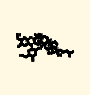 CC(C)=CCC[C@](C)(O)[C@H]1CC[C@]2(C)[C@@H]1[C@H](O)C[C@@H]1C3(C)CC[C@H](O[C@@H]4OC(CO)C(=O)CC4O[C@@H]4OC(CO)C(=O)CC4O)C(C)(C)[C@@H]3CC[C@]12C